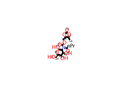 CCCC(=O)N(C(=O)OCc1oc(=O)oc1C)[C@H]1C(O)O[C@H](CO)[C@@H](O)[C@@H]1O